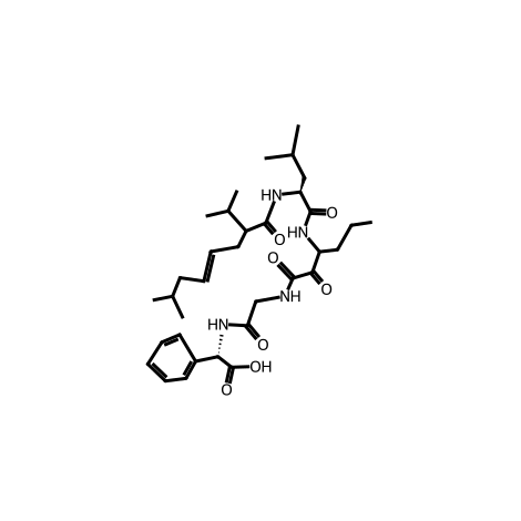 CCCC(NC(=O)[C@H](CC(C)C)NC(=O)C(C/C=C/CC(C)C)C(C)C)C(=O)C(=O)NCC(=O)N[C@H](C(=O)O)c1ccccc1